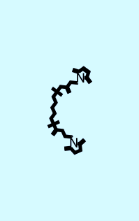 C=C(CCn1c(=C)ccc1=C)CC(C)(C)CCCCCC(C)(C)C(=C)CCCN1C(=C)CCC1=C